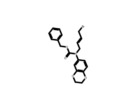 O=C(OCc1ccccc1)N(CC=CCBr)c1ccc2c(c1)OCCO2